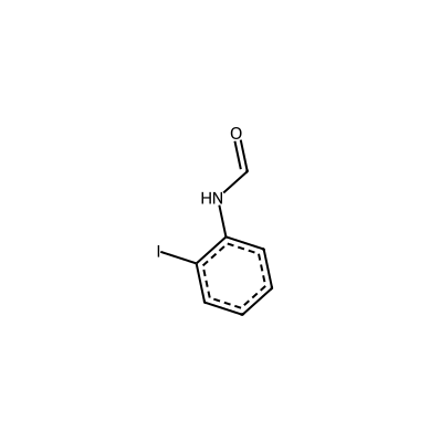 O=CNc1ccccc1I